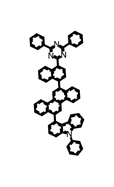 c1ccc(-c2nc(-c3ccccc3)nc(-c3ccc(-c4cc5c6ccccc6c(-c6cccc7c6c6ccccc6n7-c6ccccc6)cc5c5ccccc45)c4ccccc34)n2)cc1